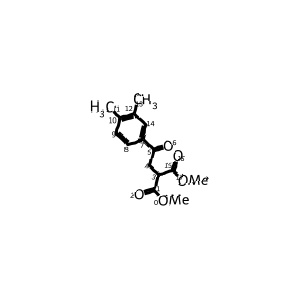 COC(=O)C(CC(=O)c1ccc(C)c(C)c1)C(=O)OC